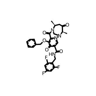 C[C@@H]1C(=O)C[C@H](C)N2CN1n1cc(C(=O)NCc3c(F)cc(F)cc3F)c(=O)c(OCc3ccccc3)c1C2=O